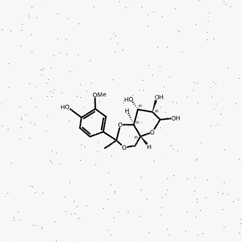 COc1cc(C2(C)OC[C@H]3OC(O)[C@H](O)[C@@H](O)[C@@H]3O2)ccc1O